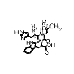 CC(C)C[C@H](NC(=O)[C@@H](N)Cc1c[nH]cn1)C(=O)N[C@@H](Cc1c[nH]c2ccccc12)C(=O)O